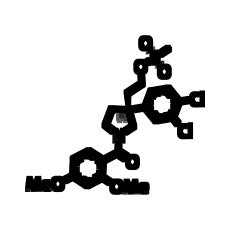 COc1ccc(C(=O)N2CC[C@](CCOS(C)(=O)=O)(c3ccc(Cl)c(Cl)c3)C2)c(OC)c1